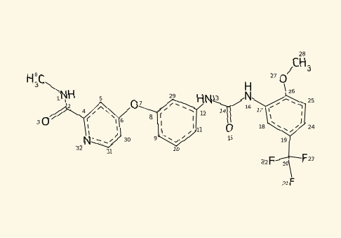 CNC(=O)c1cc(Oc2cccc(NC(=O)Nc3cc(C(F)(F)F)ccc3OC)c2)ccn1